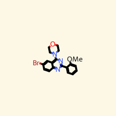 COc1ccccc1-c1nc(N2CCOCC2)c2cc(Br)ccc2n1